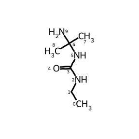 CCNC(=O)NC(C)(C)N